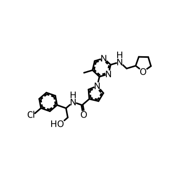 Cc1cnc(NCC2CCCO2)nc1-n1ccc(C(=O)NC(CO)c2cccc(Cl)c2)c1